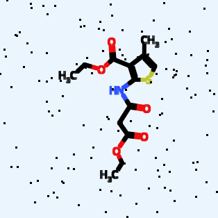 CCOC(=O)CC(=O)Nc1scc(C)c1C(=O)OCC